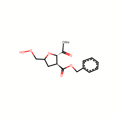 COC(=O)[C@H]1OC(COO)C[C@@H]1C(=O)OCc1ccccc1